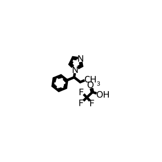 CCC(c1ccccc1)n1ccnc1.O=C(O)C(F)(F)F